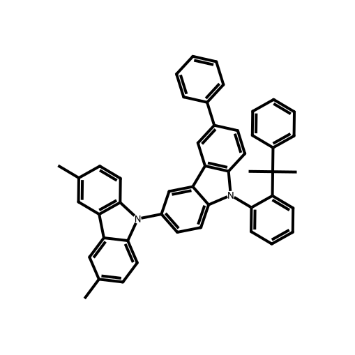 Cc1ccc2c(c1)c1cc(C)ccc1n2-c1ccc2c(c1)c1cc(-c3ccccc3)ccc1n2-c1ccccc1C(C)(C)c1ccccc1